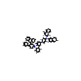 c1ccc(C2(c3ccccc3)c3ccccc3-c3ccc(-n4c5ccccc5c5cc(-c6ccc(N(c7ccc8ccccc8c7)c7ccc8ccccc8c7)cc6)ccc54)cc32)cc1